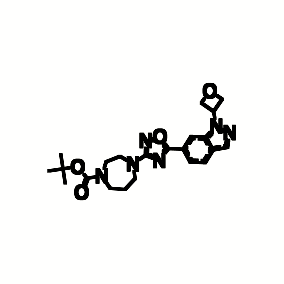 CC(C)(C)OC(=O)N1CCCN(c2noc(-c3ccc4cnn(C5COC5)c4c3)n2)CC1